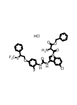 Cl.NC(C(=O)OCc1ccccc1)C(=O)n1cc(NC(=O)Nc2ccc(OCC(SC(F)(F)F)c3ccccc3)cc2F)c2cc(Cl)ccc21